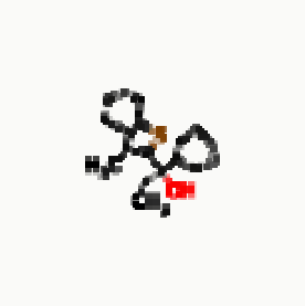 CCC(O)(c1ccccc1)c1sc2ccccc2c1C